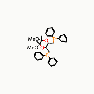 CO[C@@]1(C)O[C@H](CP(c2ccccc2)c2ccccc2)[C@@H](CP(c2ccccc2)c2ccccc2)O[C@]1(C)OC